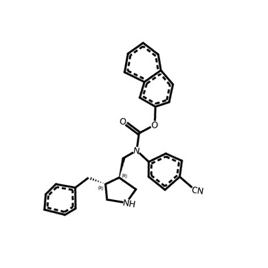 N#Cc1ccc(N(C[C@H]2CNC[C@@H]2Cc2ccccc2)C(=O)Oc2ccc3ccccc3c2)cc1